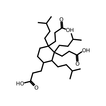 CC(C)CCC1C(CCC(=O)O)CCC(CCC(=O)O)(CCC(C)C)C1(CCC(=O)O)CCC(C)C